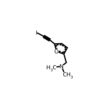 CN(C)Cc1ccc(C#CI)o1